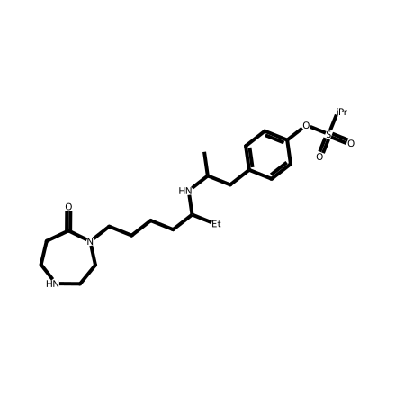 CCC(CCCCN1CCNCCC1=O)NC(C)Cc1ccc(OS(=O)(=O)C(C)C)cc1